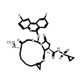 O=C(O)N[C@H]1CCCCC2=C(C2)/N=C\[C@@H]2[C@H](C(=O)NS(=O)(=O)C3CC3)CC(=O)N2[C@H](Oc2nc3ccc(F)cc3c3cc(F)ccc23)CCC1=O